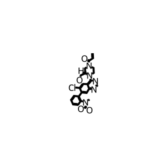 C=CC(=O)N1CCN2c3ncnc4cc(-c5cccc6oc(=O)n(C)c56)c(Cl)c(c34)OC[C@@H]2C1